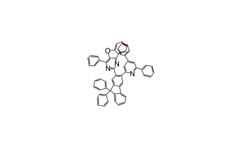 c1ccc(-c2cc(-c3ccccc3)nc(-c3cc4c(cc3-c3nc(-c5ccccc5)c5oc6ccccc6c5n3)C(c3ccccc3)(c3ccccc3)c3ccccc3-4)c2)cc1